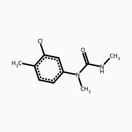 CNC(=O)N(C)c1ccc(C)c(Cl)c1